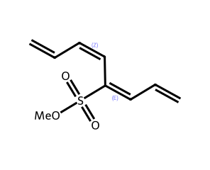 C=C/C=C\C(=C/C=C)S(=O)(=O)OC